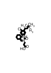 CC(C)(C)CCc1ccc([C@@]23CCCCC2=CN(CCC(=O)O)C(=O)N3)cc1Cl